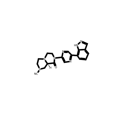 N#CN1CCN2CCN(c3cnc(-c4cccc5cn[nH]c45)cn3)C(=O)[C@H]2C1